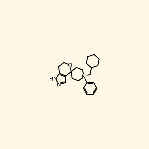 c1ccc([N+]2(CC3CCCCC3)CCC3(CC2)OCCc2[nH]ncc23)cc1